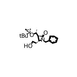 C[C@@H](O[Si](C)(C)C(C)(C)C)[C@H]1C(=O)N(Cc2ccccc2)[C@@H]1CCO